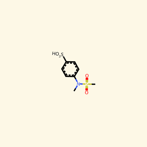 CN(c1ccc(S(=O)(=O)O)cc1)S(C)(=O)=O